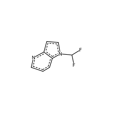 FC(F)n1ccc2ncccc21